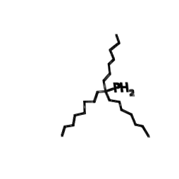 CCCCCCCCC(P)(CCCCCCC)CCCCCCC